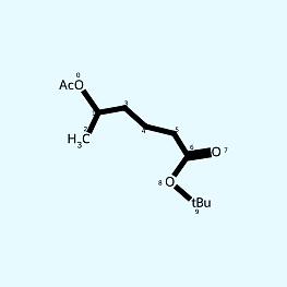 CC(=O)OC(C)CCCC(=O)OC(C)(C)C